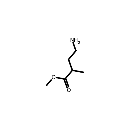 COC(=O)C(C)CCN